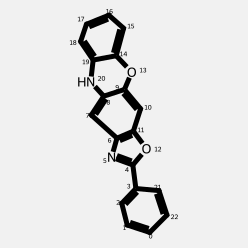 c1ccc(-c2nc3cc4c(cc3o2)Oc2ccccc2N4)cc1